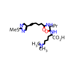 CSc1ncc(C#CCCCC(=O)N[C@H](C(=O)N[C@@H](CCCCN(C)C)C(=O)O)C(C)C)cn1